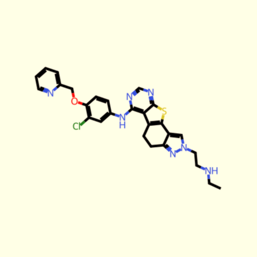 CCNCCn1cc2c(n1)CCc1c-2sc2ncnc(Nc3ccc(OCc4ccccn4)c(Cl)c3)c12